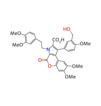 COc1ccc(-c2c(C(=O)O)n(CCc3ccc(OC)c(OC)c3)c3c(=O)oc4cc(OC)c(OC)cc4c23)cc1CO